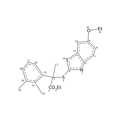 CCOC(=O)C(C)(Sc1nc2ccc(OCC)cc2s1)c1cccc(C)c1C